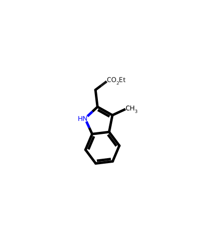 CCOC(=O)Cc1[nH]c2ccccc2c1C